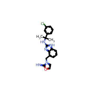 CC(C)(Nc1nc2c(Cn3ccoc3=N)cccc2[nH]1)c1cccc(Cl)c1